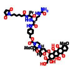 COc1cccc2c1C(=O)c1c(O)c3c(c(O)c1C2=O)C[C@@](O)(C(=O)CO)C[C@@H]3O[C@H]1C[C@H]2[C@H](O[C@@H]3[C@@H](OC)N(C(=O)OCc4ccc(NC(=O)[C@@H](CCCNC(N)=O)NC(=O)[C@H](NC(=O)CCCCCN5C(=O)C=CC5=O)C(C)C)cc4)CCN32)[C@H](C)O1